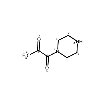 O=C(C(=O)C(F)(F)F)N1CCNCC1